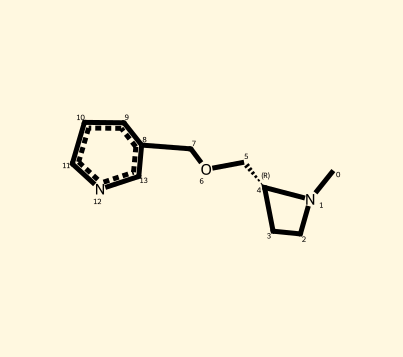 CN1CC[C@@H]1COCc1cccnc1